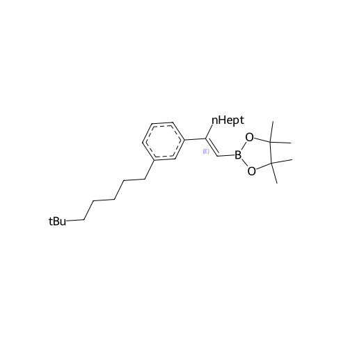 CCCCCCC/C(=C\B1OC(C)(C)C(C)(C)O1)c1cccc(CCCCCC(C)(C)C)c1